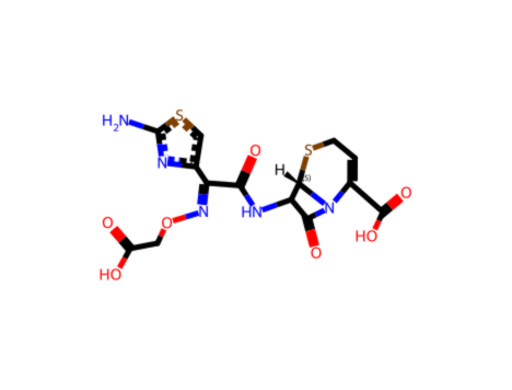 Nc1nc(C(=NOCC(=O)O)C(=O)NC2C(=O)N3C(C(=O)O)=CCS[C@@H]23)cs1